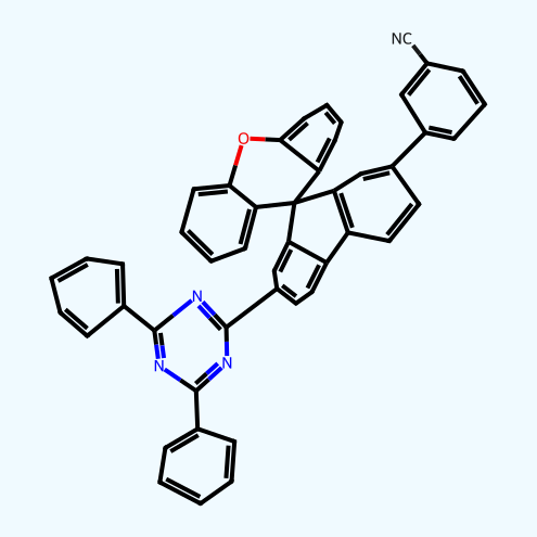 N#Cc1cccc(-c2ccc3c(c2)C2(c4ccccc4Oc4ccccc42)c2cc(-c4nc(-c5ccccc5)nc(-c5ccccc5)n4)ccc2-3)c1